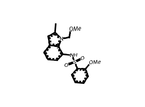 COCn1c(C)cc2cccc(NS(=O)(=O)c3ccccc3OC)c21